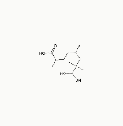 CC(CCC(C)C(=O)O)CC(C)(C)C(O)O